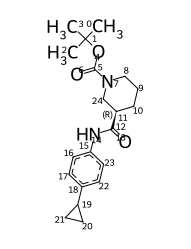 CC(C)(C)OC(=O)N1CCC[C@@H](C(=O)Nc2ccc(C3CC3)cc2)C1